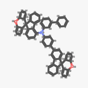 c1ccc(-c2cccc(N(c3ccc(-c4ccc5c(c4)-c4ccccc4C54c5ccccc5Oc5ccccc54)cc3)c3cccc4c3-c3ccccc3C43c4ccccc4Oc4ccccc43)c2)cc1